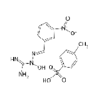 Cc1ccc(S(=O)(=O)O)cc1.N=C(N)N(O)/N=C/c1cccc([N+](=O)[O-])c1